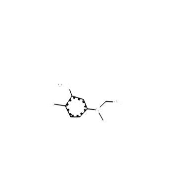 COc1cc(N(C)CC(C)(C)C)ccc1Cl